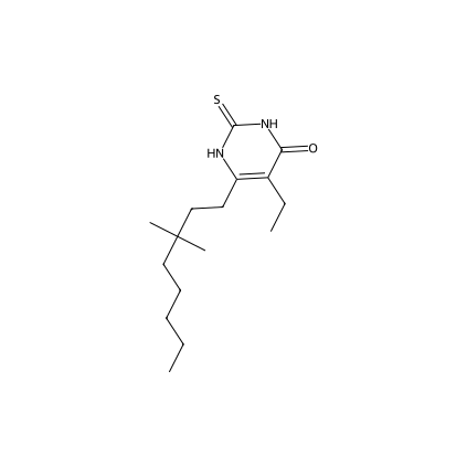 CCCCCC(C)(C)CCc1[nH]c(=S)[nH]c(=O)c1CC